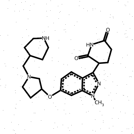 Cn1nc(C2CCC(=O)NC2=O)c2ccc(OC3CCN(CC4CCNCC4)C3)cc21